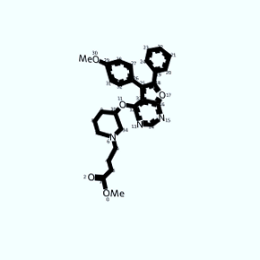 COC(=O)CCCN1CCCC(Oc2ncnc3oc(-c4ccccc4)c(-c4ccc(OC)cc4)c23)C1